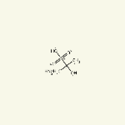 CC(C)(O)S(=O)(=O)O.[NaH]